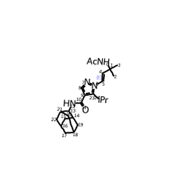 CC(=O)NC(C)(C)/C=C/n1ncc(C(=O)NC2C3CC4CC(C3)CC2C4)c1C(C)C